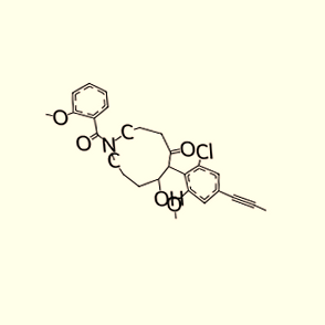 CC#Cc1cc(Cl)c(C2C(=O)CCCN(C(=O)c3ccccc3OC)CCCC2O)c(OC)c1